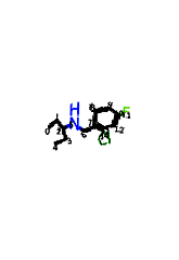 CCC(CC)NCc1ccc(F)cc1Cl